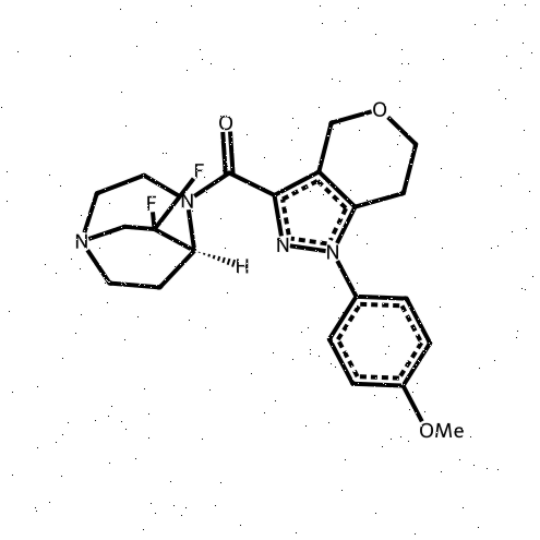 COc1ccc(-n2nc(C(=O)N3CCN4CC[C@H]3C(F)(F)C4)c3c2CCOC3)cc1